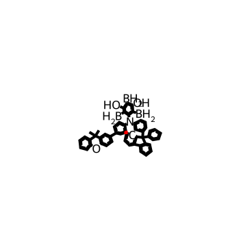 Bc1c(O)c(B)c(N(c2ccc(-c3ccc4c(c3)C(C)(C)c3ccccc3O4)cc2)c2cccc(C3(c4ccccc4)c4ccccc4-c4ccccc43)c2)c(B)c1O